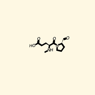 CN[C@@H](CCC(=O)O)C(=O)N1CCC[C@H]1C=O